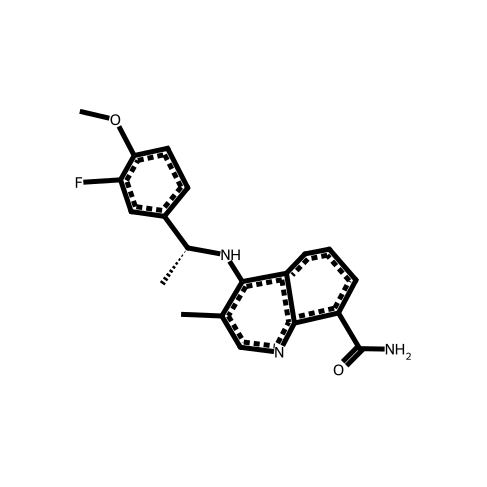 COc1ccc([C@@H](C)Nc2c(C)cnc3c(C(N)=O)cccc23)cc1F